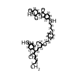 C=C\C=C/C=C/C(CC)=C(\C=C\C=C(/C=C)OCCN1CCN(CCCCNc2ccc3c(c2)CN(C2CCC(=O)NC2=O)C3=O)CC1)c1ccc(O)cc1